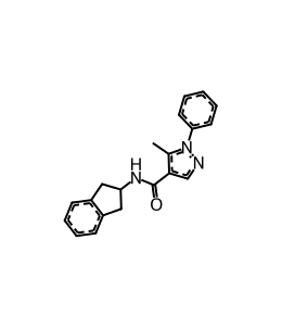 Cc1c(C(=O)NC2Cc3ccccc3C2)cnn1-c1ccccc1